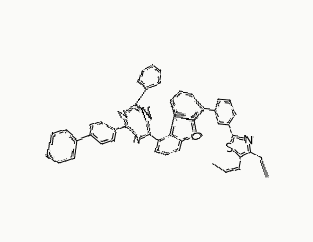 C=Cc1nc(-c2cccc(-c3cccc4c3oc3cccc(-c5nc(-c6ccccc6)nc(-c6ccc(-c7ccccc7)cc6)n5)c34)c2)sc1/C=C\C